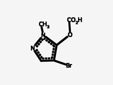 Cn1ncc(Br)c1OC(=O)O